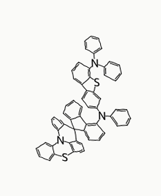 c1ccc(N(c2ccc3c(c2)sc2c(N(c4ccccc4)c4ccccc4)cccc23)c2cccc3c2-c2ccccc2C32c3ccccc3N3c4ccccc4Sc4cccc2c43)cc1